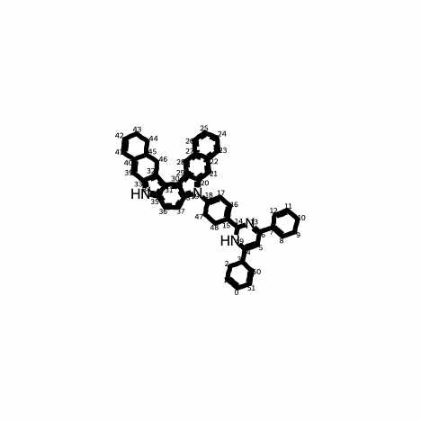 C1=CCC(C2=CC(C3=CCCC=C3)=NC(C3=CC=C(n4c5cc6ccccc6cc5c5c6c7c([nH]c6ccc54)C=C4C=CCCC4C7)CC3)N2)C=C1